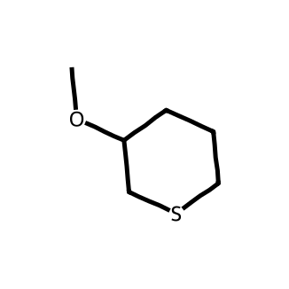 COC1CCCSC1